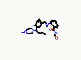 CC/C=C(\c1cc(CN(C)c2ccccc2C(=O)NC=O)ccc1F)N1CCN(C)CC1